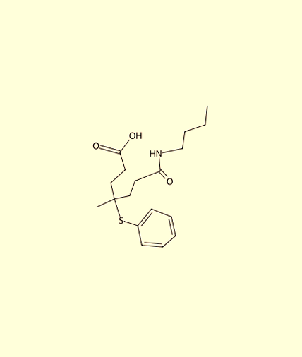 CCCCNC(=O)CCC(C)(CCC(=O)O)Sc1ccccc1